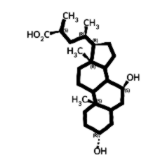 C[C@H](C[C@H](C)C(=O)O)[C@H]1CCC2C3C(CC[C@@]21C)[C@@]1(C)CC[C@@H](O)CC1C[C@@H]3O